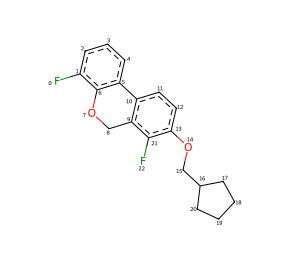 Fc1cccc2c1OCc1c-2ccc(OCC2CCCC2)c1F